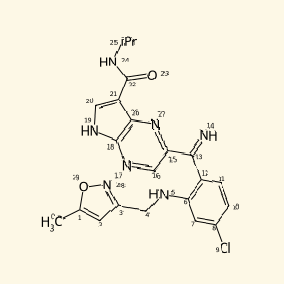 Cc1cc(CNc2cc(Cl)ccc2C(=N)c2cnc3[nH]cc(C(=O)NC(C)C)c3n2)no1